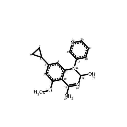 COc1cc(C2CC2)cc2c1C(N)=NC(O)N2c1cccnc1